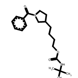 CC(C)(C)NC(=O)OCCCCC1CCN(C(=O)c2ccccc2)C1